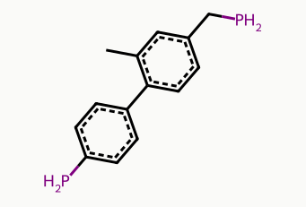 Cc1cc(CP)ccc1-c1ccc(P)cc1